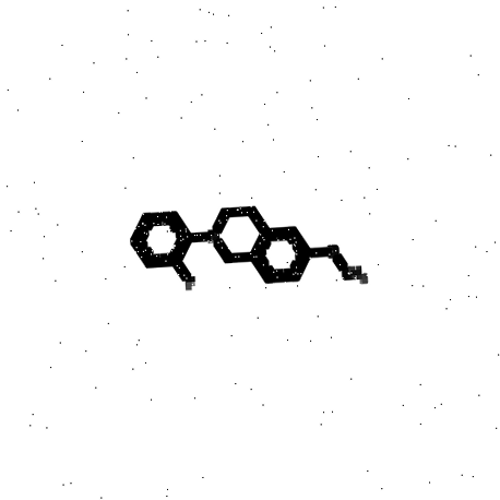 COc1ccc2c(c1)CCN(c1ccccc1F)C2